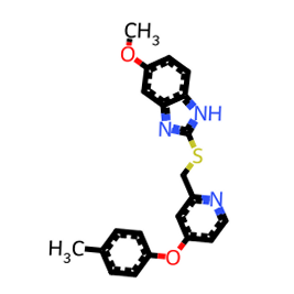 COc1ccc2[nH]c(SCc3cc(Oc4ccc(C)cc4)ccn3)nc2c1